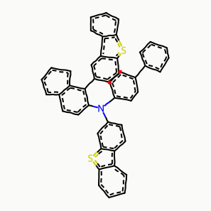 c1ccc(-c2ccc(N(c3ccc4c(c3)sc3ccccc34)c3ccc4ccccc4c3-c3ccc4sc5ccccc5c4c3)cc2)cc1